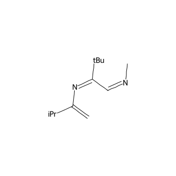 C=C(/N=C(\C=N/C)C(C)(C)C)C(C)C